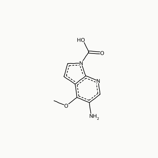 COc1c(N)cnc2c1ccn2C(=O)O